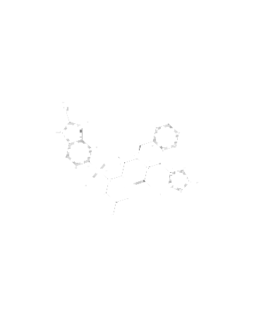 CC(C)CN(C[C@@H](O)[C@@H](Cc1ccccc1)N(Cc1cncs1)C(=O)O)S(=O)(=O)c1ccc2nc(N)oc2c1